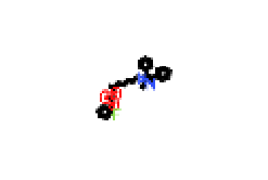 Cc1nc(-c2ccccc2)c(-c2ccccc2)n1CCCCCC(C)OC(=O)Oc1ccccc1F